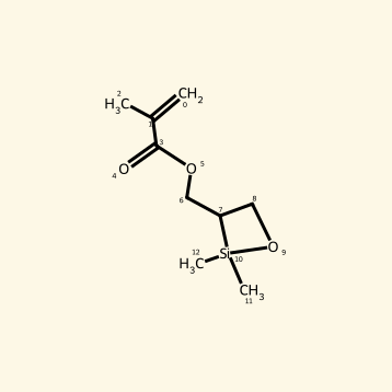 C=C(C)C(=O)OCC1CO[Si]1(C)C